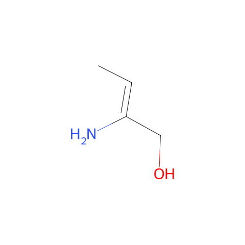 CC=C(N)CO